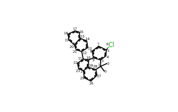 CC1(C)c2cc(Cl)ccc2-c2c(-c3ccc4ccccc4c3)ccc3cccc1c23